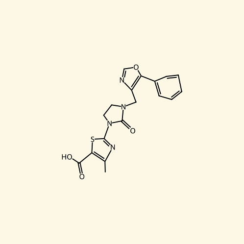 Cc1nc(N2CCN(Cc3ncoc3-c3ccccc3)C2=O)sc1C(=O)O